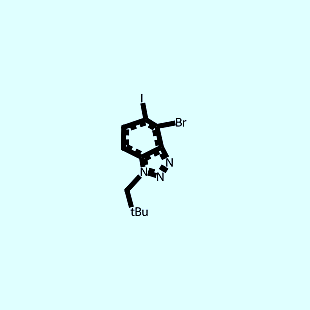 CC(C)(C)Cn1nnc2c(Br)c(I)ccc21